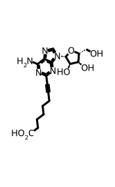 Nc1nc(C#CCCCCCC(=O)O)nc2c1ncn2[C@@H]1O[C@H](CO)[C@@H](O)[C@H]1O